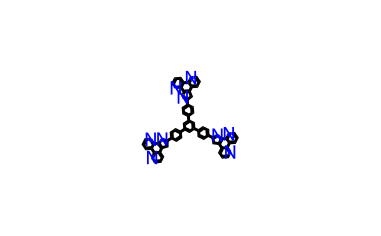 c1cnc2c(c1)c1c(c3ncccc32)N=C(c2ccc(-c3cc(-c4ccc(C5=Nc6c(c7cccnc7c7cccnc67)C5)cc4)cc(-c4ccc(C5=Nc6c(c7cccnc7c7cccnc67)C5)cc4)c3)cc2)C1